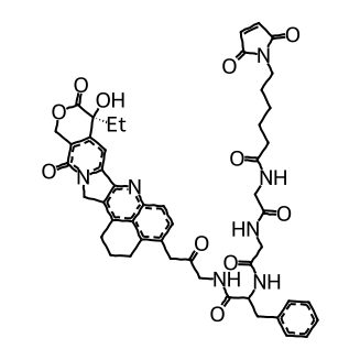 CC[C@@]1(O)C(=O)OCc2c1cc1n(c2=O)Cc2c-1nc1ccc(CC(=O)CNC(=O)C(Cc3ccccc3)NC(=O)CNC(=O)CNC(=O)CCCCCN3C(=O)C=CC3=O)c3c1c2CCC3